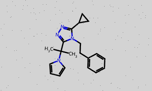 CC(C)(c1nnc(C2CC2)n1CCc1ccccc1)n1cccc1